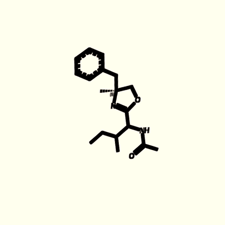 CCC(C)C(NC(C)=O)C1=N[C@@](C)(Cc2ccccc2)CO1